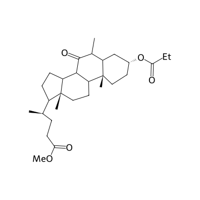 CCC(=O)O[C@@H]1CC[C@@]2(C)C(C1)C(C)C(=O)C1C2CC[C@@]2(C)C1CCC2[C@H](C)CCC(=O)OC